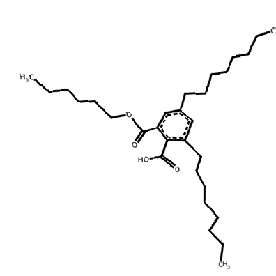 CCCCCCCCc1cc(CCCCCCCC)c(C(=O)O)c(C(=O)OCCCCCC)c1